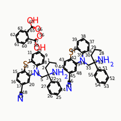 CCC[C@@](N)(CN1c2ccccc2Sc2ccc(C#N)cc21)c1ccccc1.CCC[C@@](N)(CN1c2ccccc2Sc2ccc(C#N)cc21)c1ccccc1.O=C(O)c1ccccc1C(=O)O